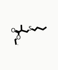 [CH2]COC(=O)C(C)CSCCCC